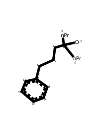 CCCC([O])(CCC)CCCc1ccccc1